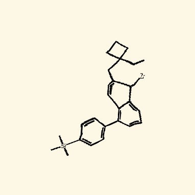 CCC1(CC2=Cc3c(-c4ccc([Si](C)(C)C)cc4)cccc3[CH]2[Zr])CCC1